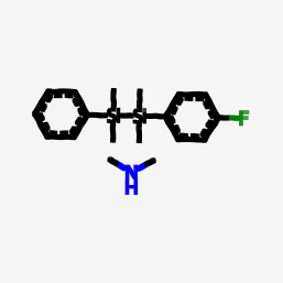 CNC.C[Si](C)(c1ccccc1)[Si](C)(C)c1ccc(F)cc1